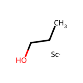 CCCO.[Sc]